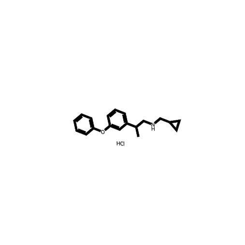 CC(CNCC1CC1)c1cccc(Oc2ccccc2)c1.Cl